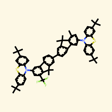 Cc1cc(N2c3ccc(C(C)(C)C)cc3Sc3cc(C(C)(C)C)ccc32)cc2c1C(C)(C)c1cc(-c3ccc4c(c3)C(C)(C)c3c-4cc(N4c5ccc(C(C)(C)C)cc5Sc5cc(C(C)(C)C)ccc54)cc3C(F)(F)F)ccc1-2